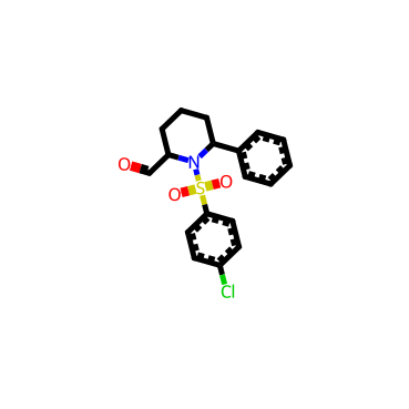 O=CC1CCCC(c2ccccc2)N1S(=O)(=O)c1ccc(Cl)cc1